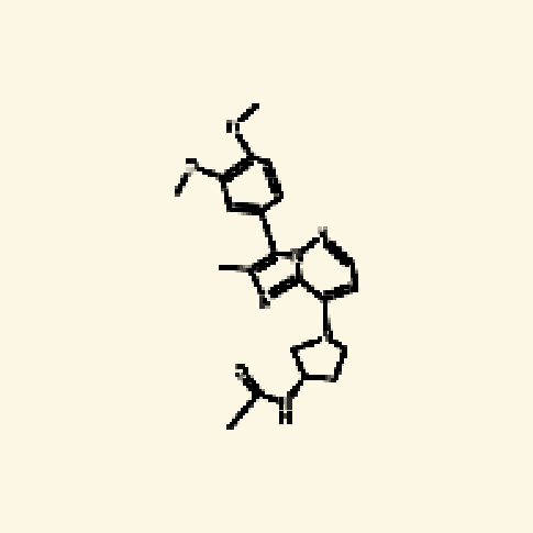 COc1ccc(-c2c(C)nc3c(N4CC[C@@H](NC(C)=O)C4)ccnn23)cc1OC